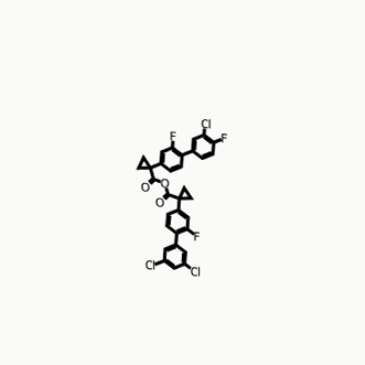 O=C(OC(=O)C1(c2ccc(-c3ccc(F)c(Cl)c3)c(F)c2)CC1)C1(c2ccc(-c3cc(Cl)cc(Cl)c3)c(F)c2)CC1